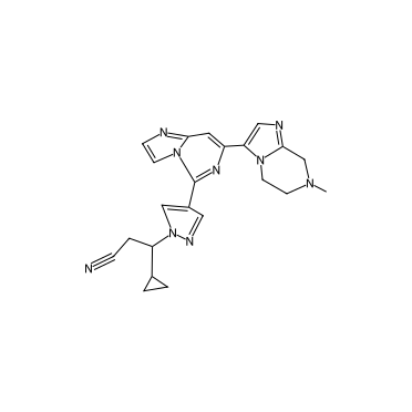 CN1CCn2c(-c3cc4nccn4c(-c4cnn(C(CC#N)C5CC5)c4)n3)cnc2C1